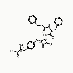 N[C@@H](Cc1ccc(O[C@@H]2NC(=O)[C@H]2NC(=O)[C@H](Cc2ccccc2)NC(=O)CCc2ccccc2)cc1)C(=O)O